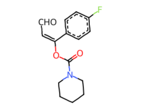 O=CC=C(OC(=O)N1CCCCC1)c1ccc(F)cc1